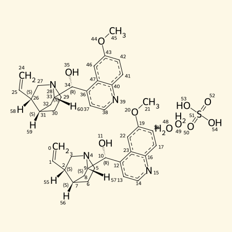 C=C[C@@H]1CN2CC[C@H]1C[C@H]2[C@H](O)c1ccnc2ccc(OC)cc12.C=C[C@@H]1CN2CC[C@H]1C[C@H]2[C@H](O)c1ccnc2ccc(OC)cc12.O.O.O=S(=O)(O)O